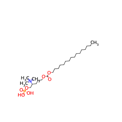 CCCCCCCCCCCCCCCCOC(=O)OCCCC(COP(=O)(O)O)[N+](C)(C)C